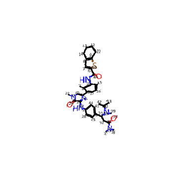 Cc1c(NC(=O)c2cc3c(s2)CCCC3)cccc1-c1cn(C)c(=O)c(Nc2ccc(C(CC(=O)N(C)C)N(C)C(C)C)cc2)n1